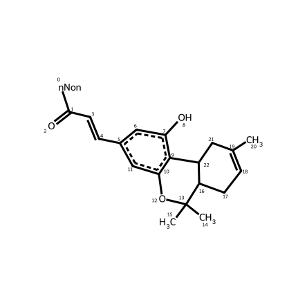 CCCCCCCCCC(=O)C=Cc1cc(O)c2c(c1)OC(C)(C)C1CC=C(C)CC21